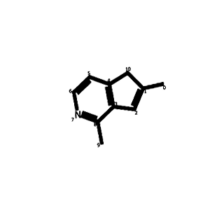 CC1=Cc2c(ccnc2C)C1